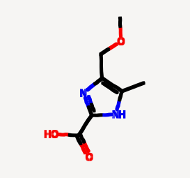 COCc1nc(C(=O)O)[nH]c1C